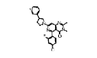 Cc1nc2cc(N3CCC(c4cccnc4)C3)nc(-c3ccc(Cl)cc3F)c2c(=O)n1C